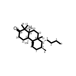 CCCC[C@@H]1[C@@H](C)CC=C2C1(C)CC[C@H]1C(C)(C)C(=O)CC[C@]21C